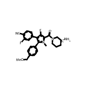 COCc1ccc(-c2c(-c3ccc(C#N)c(F)c3)c(F)c(C(=O)N3CCC[C@@H](N)C3)n2C)cc1